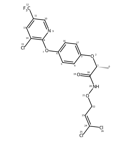 C[C@@H](Oc1ccc(Oc2ncc(C(F)(F)F)cc2Cl)cc1)C(=O)NOCC=C(Cl)Cl